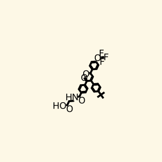 CC(C)(C)c1ccc(C(=CC(=O)c2ccc(OC(F)(F)F)cc2)C(=O)c2ccc(C(=O)NCCC(=O)O)cc2)cc1